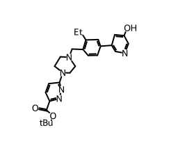 CCc1cc(-c2cncc(O)c2)ccc1CN1CCN(c2ccc(C(=O)OC(C)(C)C)nn2)CC1